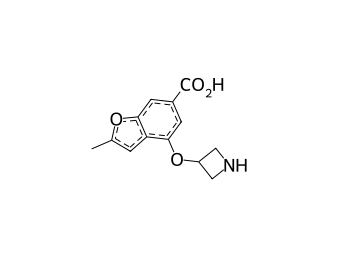 Cc1cc2c(OC3CNC3)cc(C(=O)O)cc2o1